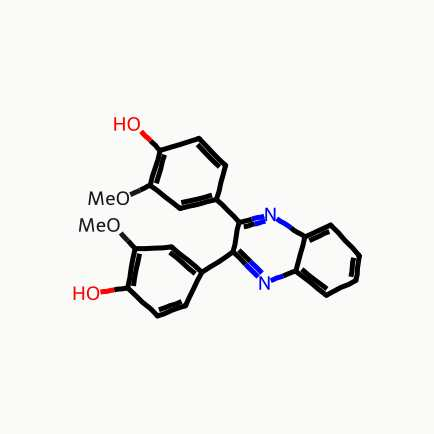 COc1cc(-c2nc3ccccc3nc2-c2ccc(O)c(OC)c2)ccc1O